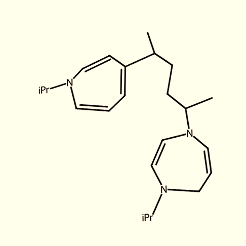 CC(CCC(C)N1C=CCN(C(C)C)C=C1)C1=CC=CN(C(C)C)C=C1